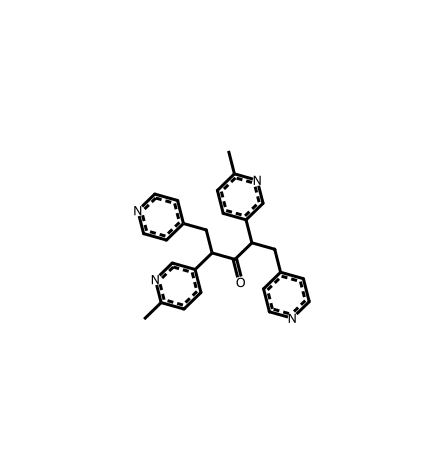 Cc1ccc(C(Cc2ccncc2)C(=O)C(Cc2ccncc2)c2ccc(C)nc2)cn1